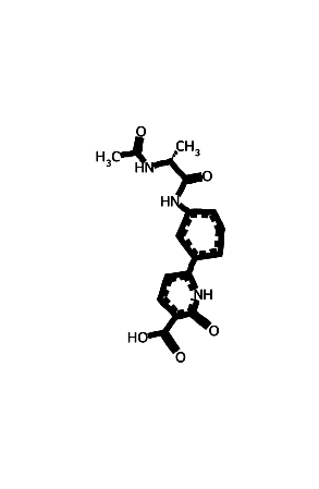 CC(=O)N[C@H](C)C(=O)Nc1cccc(-c2ccc(C(=O)O)c(=O)[nH]2)c1